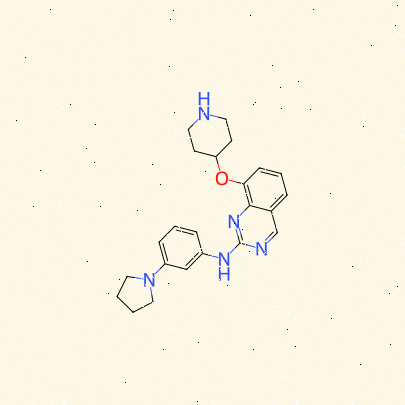 c1cc(Nc2ncc3cccc(OC4CCNCC4)c3n2)cc(N2CCCC2)c1